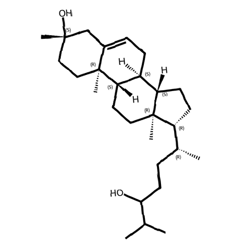 CC(C)C(O)CC[C@@H](C)[C@H]1CC[C@H]2[C@@H]3CC=C4C[C@@](C)(O)CC[C@]4(C)[C@H]3CC[C@]12C